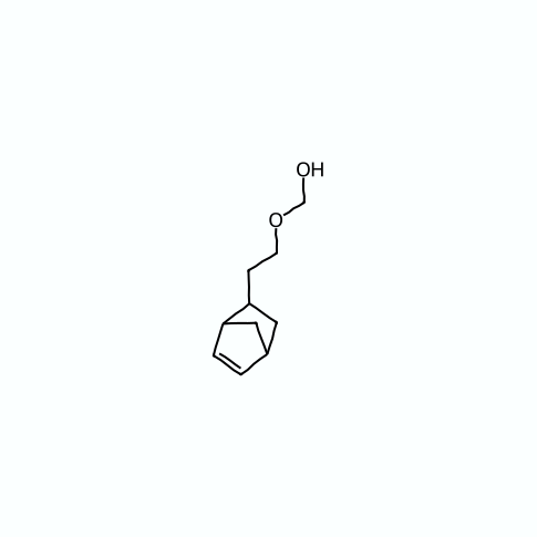 OCOCCC1CC2C=CC1C2